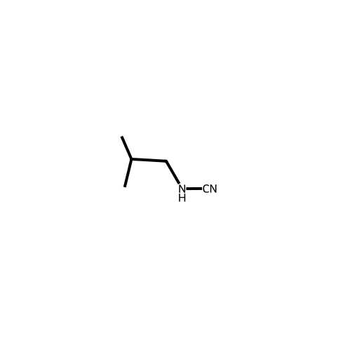 CC(C)CNC#N